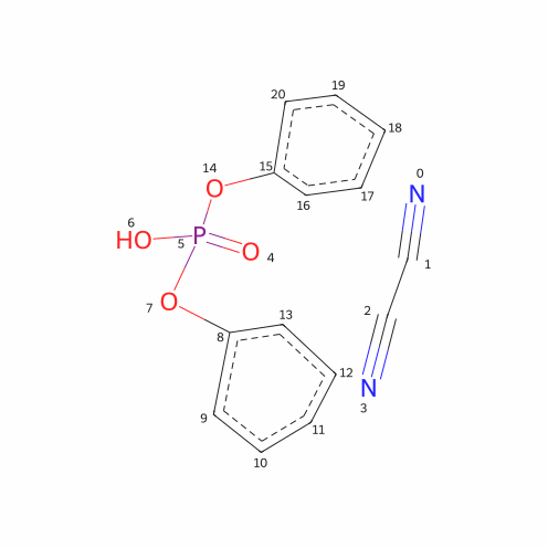 N#CC#N.O=P(O)(Oc1ccccc1)Oc1ccccc1